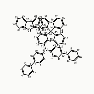 c1ccc(-c2ccc(N(c3ccc(-c4ccccc4)cc3)c3ccc(-c4cccc5c4oc4ccccc45)c4c3-c3ccccc3C4(c3ccccc3)c3ccccc3)cc2)cc1